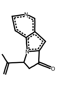 C=C(C)C1CC(=O)c2cc3cnccc3n21